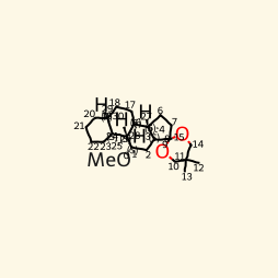 CO[C@H]1C[C@@]2(C)[C@@H](CCC23OCC(C)(C)CO3)[C@@H]2CC[C@H]3CCCC[C@]3(C)[C@H]21